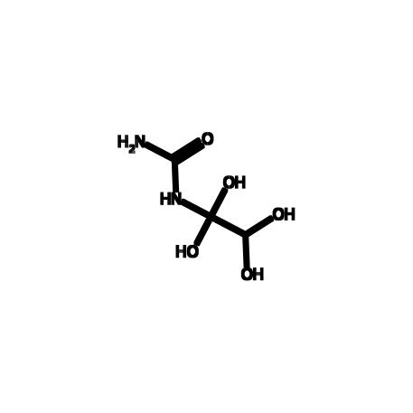 NC(=O)NC(O)(O)C(O)O